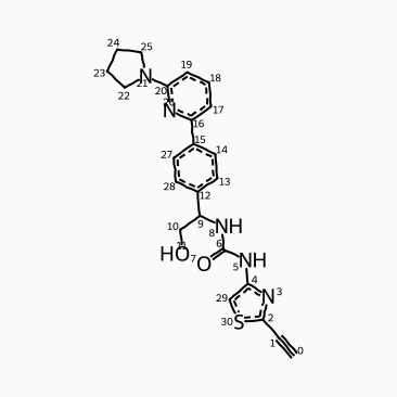 C#Cc1nc(NC(=O)NC(CO)c2ccc(-c3cccc(N4CCCC4)n3)cc2)cs1